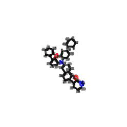 c1ccc(-c2ccc(N(c3ccc4c(ccc5c6cccnc6oc45)c3)c3cccc4c3oc3ccccc34)cc2)cc1